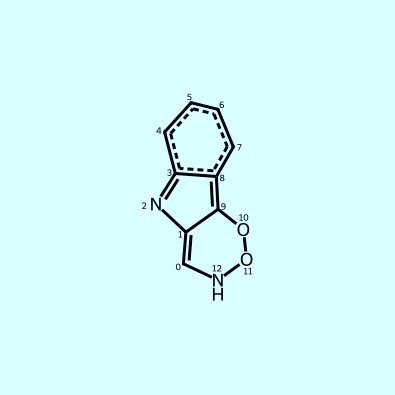 C1=C2N=c3ccccc3=C2OON1